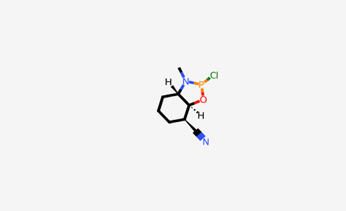 CN1[C@H]2CCC[C@H](C#N)[C@@H]2OP1Cl